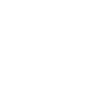 O=C(Cc1cncnc1)c1ccc(Br)cn1